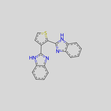 c1ccc2[nH]c(-c3ccsc3-c3nc4ccccc4[nH]3)nc2c1